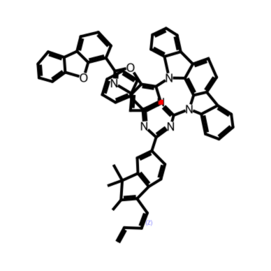 C=C/C=C\C1=C(C)C(C)(C)c2cc(-c3nc(-c4ccccc4)nc(-n4c5ccccc5c5ccc6c7ccccc7n(-c7cccc8nc(-c9cccc%10c9oc9ccccc9%10)oc78)c6c54)n3)ccc21